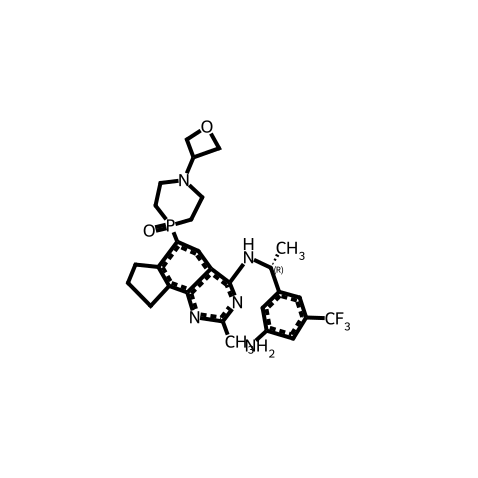 Cc1nc(N[C@H](C)c2cc(N)cc(C(F)(F)F)c2)c2cc(P3(=O)CCN(C4COC4)CC3)c3c(c2n1)CCC3